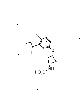 O=C(O)N[C@H]1C[C@H](Oc2ccc(F)c(C(F)CF)c2)C1